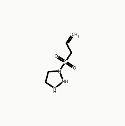 C=CCS(=O)(=O)N1CCNN1